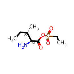 CC[C@H](C)[C@H](N)C(=O)OS(=O)(=O)CC